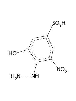 NNc1c(O)cc(S(=O)(=O)O)cc1[N+](=O)[O-]